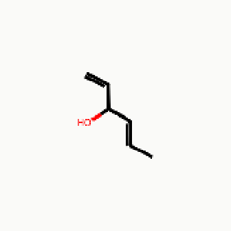 C=CC(O)C=CC